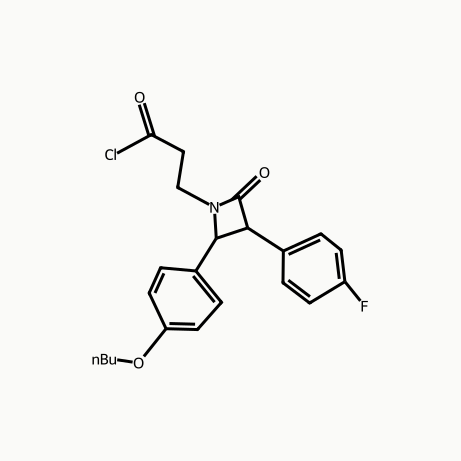 CCCCOc1ccc(C2C(c3ccc(F)cc3)C(=O)N2CCC(=O)Cl)cc1